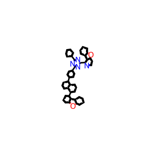 c1ccc(-c2nc(-c3ccc(-c4cccc5c(-c6cccc7oc8ccccc8c67)cccc45)cc3)nc(-c3nccc4oc5ccccc5c34)n2)cc1